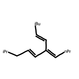 CCCC=C(C=CCC(C)C)C=CC(C)CC